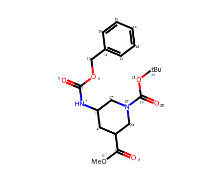 COC(=O)C1CC(NC(=O)OCc2ccccc2)CN(C(=O)OC(C)(C)C)C1